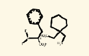 NCC1(CC(=O)O)CCCCC1.O=C(O)[C@H](Cc1ccccc1)N(F)F